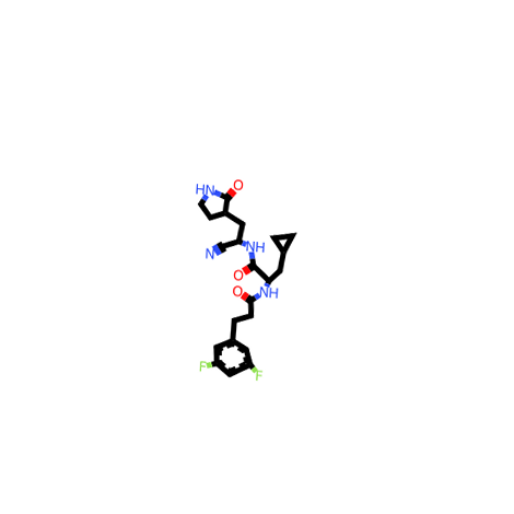 N#CC(CC1CCNC1=O)NC(=O)C(CC1CC1)NC(=O)CCc1cc(F)cc(F)c1